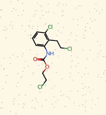 O=C(Nc1c[c]cc(Cl)c1CCCl)OCCCl